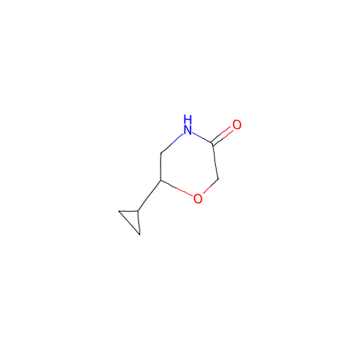 O=C1COC(C2CC2)CN1